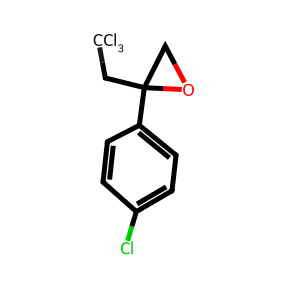 Clc1ccc(C2(CC(Cl)(Cl)Cl)CO2)cc1